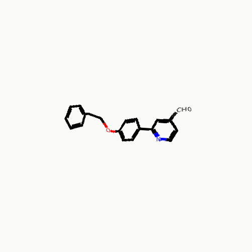 O=Cc1ccnc(-c2ccc(OCc3ccccc3)cc2)c1